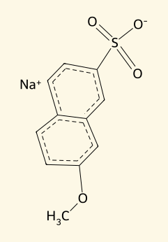 COc1ccc2ccc(S(=O)(=O)[O-])cc2c1.[Na+]